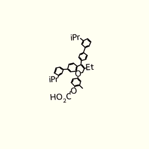 CCC(COc1ccc(OCC(=O)O)c(C)c1)=C(c1ccc(-c2cccc(C(C)C)c2)cc1)c1ccc(-c2cccc(C(C)C)c2)cc1